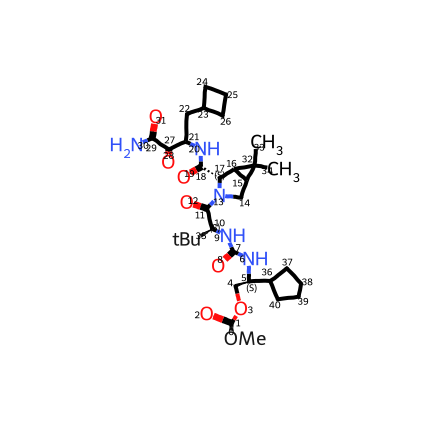 COC(=O)OC[C@@H](NC(=O)N[C@H](C(=O)N1CC2C([C@H]1C(=O)NC(CC1CCC1)C(=O)C(N)=O)C2(C)C)C(C)(C)C)C1CCCC1